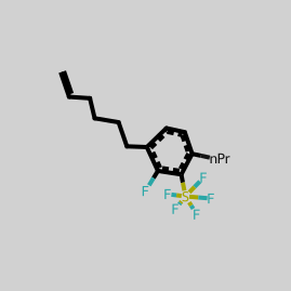 C=CCCCCc1ccc(CCC)c(S(F)(F)(F)(F)F)c1F